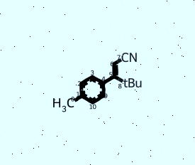 Cc1ccc(C(=CC#N)C(C)(C)C)cc1